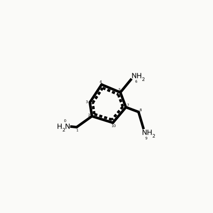 NCc1ccc(N)c(CN)c1